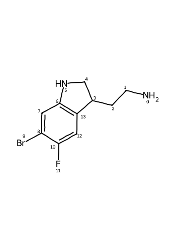 NCCC1CNc2cc(Br)c(F)cc21